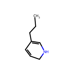 CCCC1=CNCC=C1